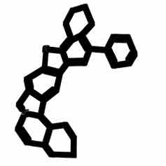 C1=CN2Cc3cc4oc5c6c(c(-c7ccccc7)cc5c4cc3C2C2CCCCC12)CCCC6